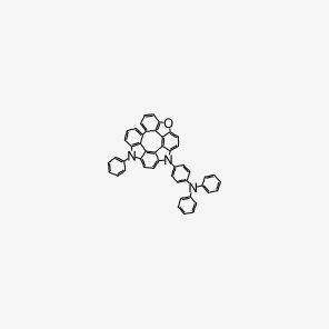 c1ccc(N(c2ccccc2)c2ccc(-n3c4ccc5oc6cccc7c8cccc9c8c8c(c4c5c67)c3ccc8n9-c3ccccc3)cc2)cc1